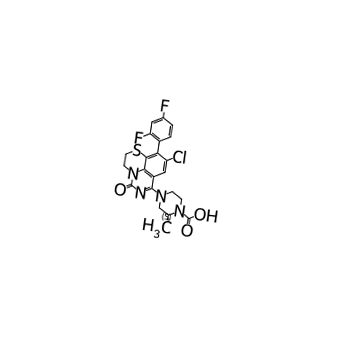 C[C@H]1CN(c2nc(=O)n3c4c(c(-c5ccc(F)cc5F)c(Cl)cc24)SCC3)CCN1C(=O)O